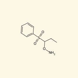 CCC(ON)S(=O)(=O)c1ccccc1